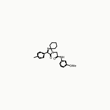 COc1cccc(NC(=O)CN2C(=O)C(c3ccc(C)cc3)=NC23CCCCC3)c1